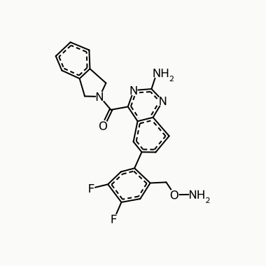 NOCc1cc(F)c(F)cc1-c1ccc2nc(N)nc(C(=O)N3Cc4ccccc4C3)c2c1